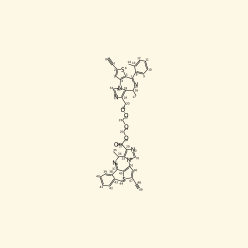 C#Cc1cc2c(s1)C(c1ccccc1C)=NC(C)c1c(COOCOCOC(=O)c3ncn4c3C(C)N=C(c3ccccc3C)c3sc(C#C)cc3-4)ncn1-2